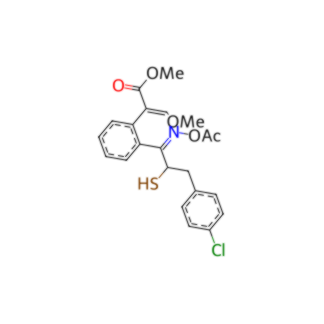 CO/C=C(/C(=O)OC)c1ccccc1/C(=N/OC(C)=O)C(S)Cc1ccc(Cl)cc1